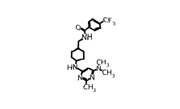 Cc1nc(NC2CCC(CNC(=O)c3ccc(C(F)(F)F)cc3)CC2)cc(N(C)C)n1